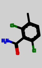 Cc1ccc(Cl)c(C(N)=O)c1Cl